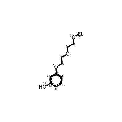 CCOCCOCCOc1cccc(O)c1